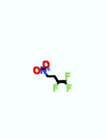 O=[N+]([O-])CCC(F)=C(F)F